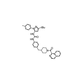 Cc1ccc(-n2nc(C(C)(C)C)cc2NC(=O)Nc2ccc(CC3CCN(C(=O)c4nccc5ccccc45)CC3)cc2)cc1